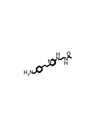 CC(=O)NCCNc1ccc(CCc2ccc(CN)cc2)nc1